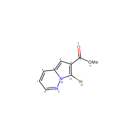 COC(=O)c1cc2cccnn2c1Br